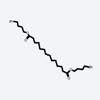 CC(C)CCCCOC(=O)CCCCCCCCCCCCC(=O)OCCCCC(C)C